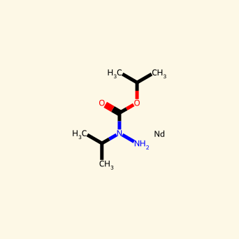 CC(C)OC(=O)N(N)C(C)C.[Nd]